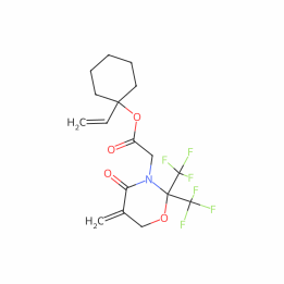 C=CC1(OC(=O)CN2C(=O)C(=C)COC2(C(F)(F)F)C(F)(F)F)CCCCC1